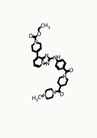 CCOC(=O)N1CC=C(c2cccn3nc(Nc4ccc(C(=O)N5CCC(C(=O)N6CCN(C)CC6)CC5)cc4)nc23)CC1